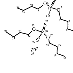 CCCCOP(=S)([S-])OCCCC.CCCCOP(=S)([S-])OCCCC.[Zn+2]